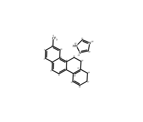 FC(F)(F)c1ccc2ccc3c(c2c1)CCC1=C3C=CCC1.c1nc[nH]n1